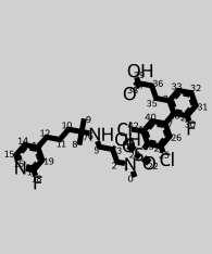 CN(C[C@H](O)CNC(C)(C)CCCc1ccnc(F)c1)S(=O)(=O)c1c(Cl)cc(-c2c(F)cccc2CCC(=O)O)cc1Cl